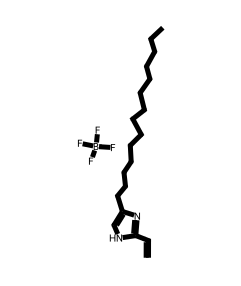 C=Cc1nc(CCCCCCCCCCCCCC)c[nH]1.F[B-](F)(F)F